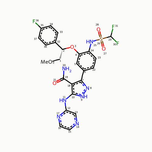 COC[C@@H](Oc1cc(-c2n[nH]c(Nc3cnccn3)c2C(N)=O)ccc1NS(=O)(=O)C(F)F)c1ccc(F)cc1